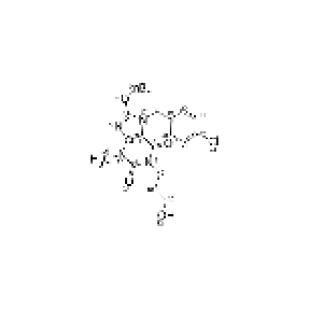 CCCCOc1nc2c(c(=O)n(CCCO)c(=O)n2C)n1Cc1ccc(Cl)cc1